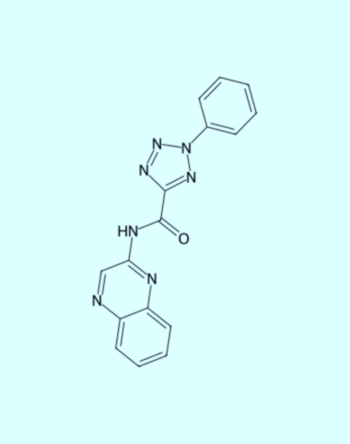 O=C(Nc1cnc2ccccc2n1)c1nnn(-c2ccccc2)n1